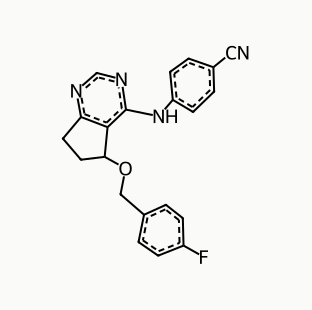 N#Cc1ccc(Nc2ncnc3c2C(OCc2ccc(F)cc2)CC3)cc1